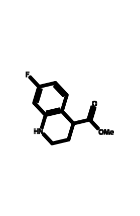 COC(=O)C1CCNc2cc(F)ccc21